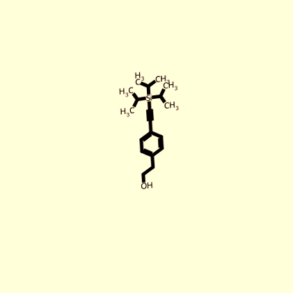 CC(C)[Si](C#Cc1ccc(CCO)cc1)(C(C)C)C(C)C